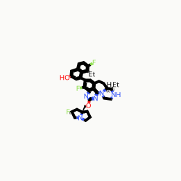 CCc1c(F)ccc2cc(O)cc(-c3cc4c5c(nc(OC[C@@]67CCCN6C[C@H](F)C7)nc5c3F)N3CCN[C@@H](CC)[C@H]3CC4)c12